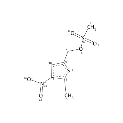 Cc1sc(COS(C)(=O)=O)cc1[N+](=O)[O-]